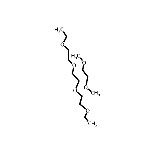 CCOCCOCCOCCOCC.COCCOC